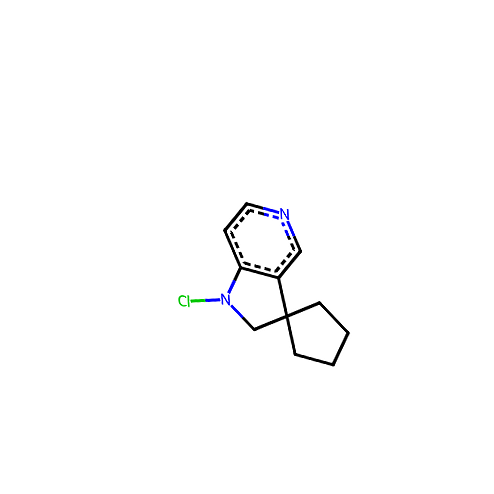 ClN1CC2(CCCC2)c2cnccc21